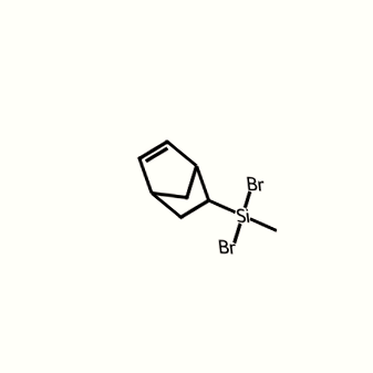 C[Si](Br)(Br)C1CC2C=CC1C2